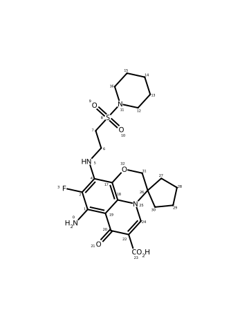 Nc1c(F)c(NCCS(=O)(=O)N2CCCCC2)c2c3c1c(=O)c(C(=O)O)cn3C1(CCCC1)CO2